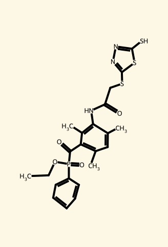 CCOP(=O)(C(=O)c1c(C)cc(C)c(NC(=O)CSc2nnc(S)s2)c1C)c1ccccc1